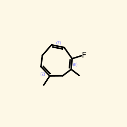 C/C1=C/C/C=C\C(F)=C(\C)C1